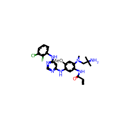 C=CC(=O)Nc1cc(Nc2cc(Nc3cccc(Cl)c3F)ncn2)c(OC)cc1N(C)CC(C)(C)N